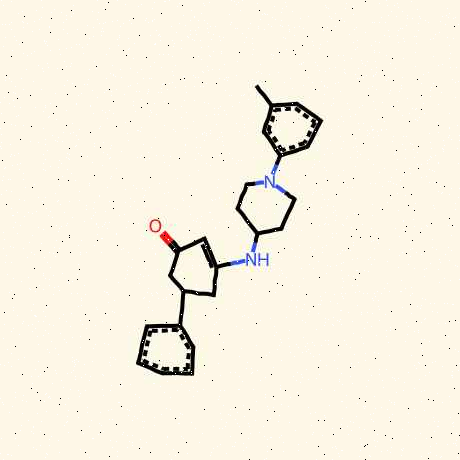 Cc1cccc(N2CCC(NC3=CC(=O)CC(c4ccccc4)C3)CC2)c1